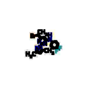 Cc1cc(C)n(-c2nc(NC3CCC(F)(F)CC3)cc(C(C)Br)n2)n1